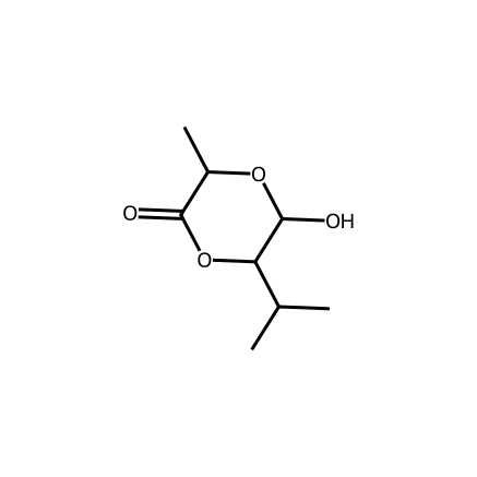 CC1OC(O)C(C(C)C)OC1=O